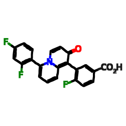 O=C(O)c1ccc(F)c(-c2c(=O)ccn3c(-c4ccc(F)cc4F)cccc23)c1